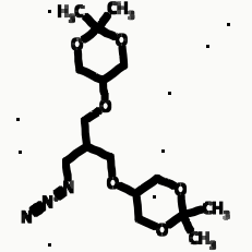 CC1(C)OCC(OCC(CN=[N+]=[N-])COC2COC(C)(C)OC2)CO1